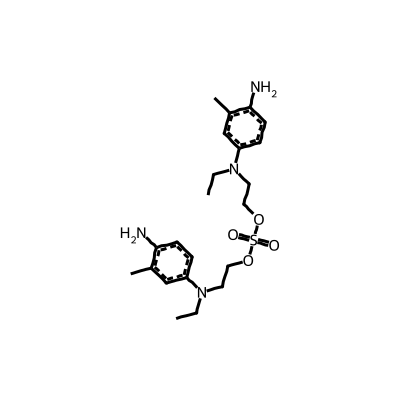 CCN(CCOS(=O)(=O)OCCN(CC)c1ccc(N)c(C)c1)c1ccc(N)c(C)c1